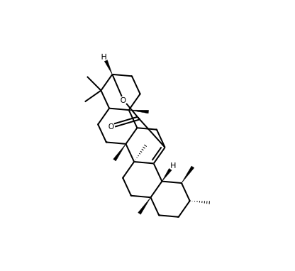 C[C@H]1[C@H](C)CC[C@]2(C)CC[C@]3(C)C(=C4CC5[C@@]6(C)CC[C@H](OC4=O)C(C)(C)C6CC[C@]53C)[C@H]12